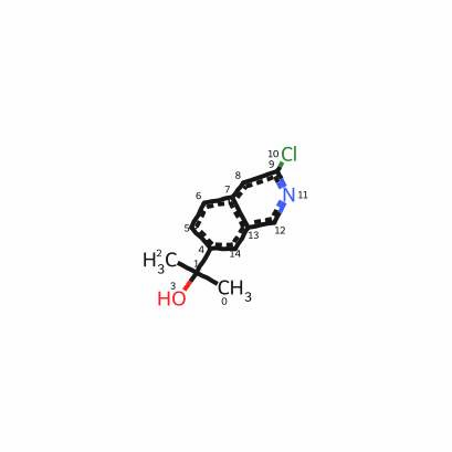 CC(C)(O)c1ccc2cc(Cl)ncc2c1